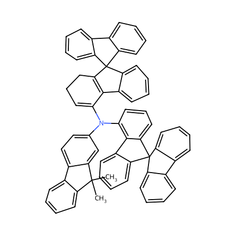 CC1(C)c2ccccc2-c2ccc(N(C3=CCCC4=C3c3ccccc3C43c4ccccc4-c4ccccc43)c3cccc4c3-c3ccccc3C43c4ccccc4-c4ccccc43)cc21